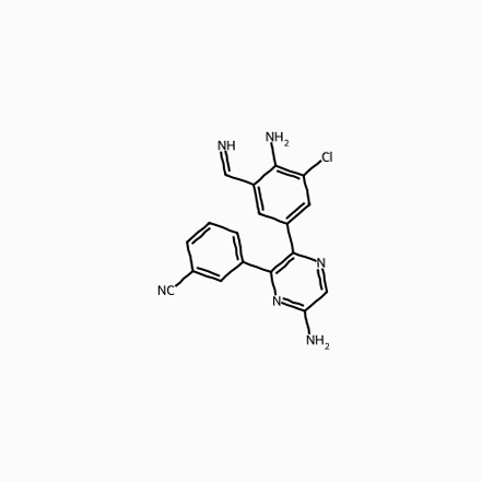 N#Cc1cccc(-c2nc(N)cnc2-c2cc(Cl)c(N)c(C=N)c2)c1